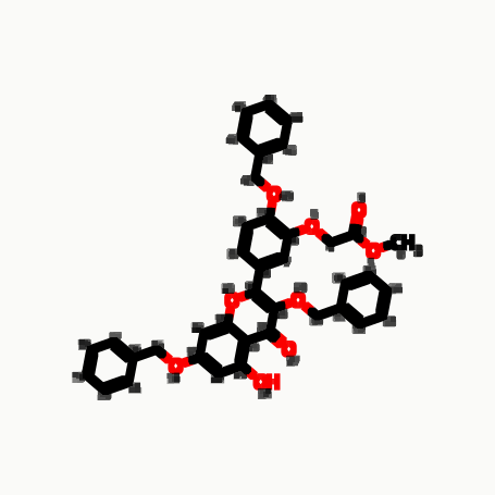 COC(=O)COc1cc(-c2oc3cc(OCc4ccccc4)cc(O)c3c(=O)c2OCc2ccccc2)ccc1OCc1ccccc1